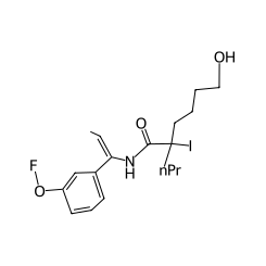 C/C=C(/NC(=O)C(I)(CCC)CCCCO)c1cccc(OF)c1